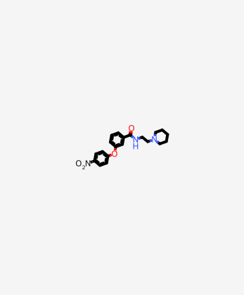 O=C(NCCN1CCCCC1)c1cccc(Oc2ccc([N+](=O)[O-])cc2)c1